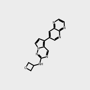 c1cnc2ncc(-c3ccn4nc(NC5COC5)ncc34)cc2n1